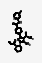 C=CC(=O)N1CCCC[C@H]1c1nc(-c2ccc(C(=O)Nc3cc(C)ccn3)cc2)c(C(N)=O)n1N